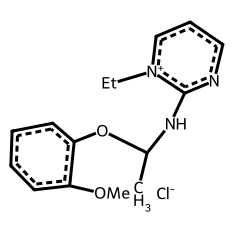 CC[n+]1cccnc1NC(C)Oc1ccccc1OC.[Cl-]